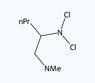 CCCC(CNC)N(Cl)Cl